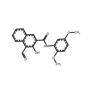 COc1ccc(OC)c(NC(=O)c2cc3ccccc3c(C=O)c2O)c1